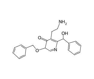 NCCC1=C(C(O)c2ccccc2)N=CC(OCc2ccccc2)C1=O